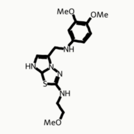 COCCNC1=NN2C(CNc3ccc(OC)c(OC)c3)=CNC2S1